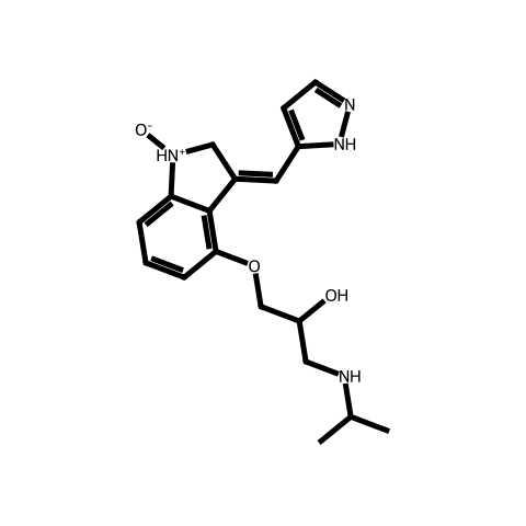 CC(C)NCC(O)COc1cccc2c1C(=Cc1ccn[nH]1)C[NH+]2[O-]